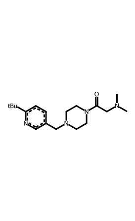 CN(C)CC(=O)N1CCN(Cc2ccc(C(C)(C)C)nc2)CC1